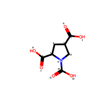 O=C(O)C1CC(C(=O)O)N(C(=O)O)C1